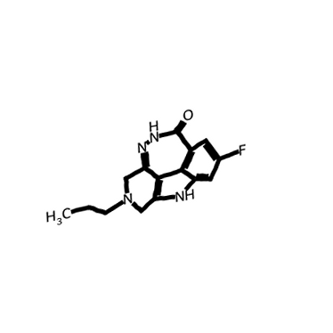 CCCN1CC2=NNC(=O)c3cc(F)cc4[nH]c(c2c34)C1